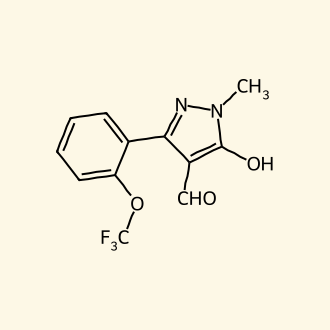 Cn1nc(-c2ccccc2OC(F)(F)F)c(C=O)c1O